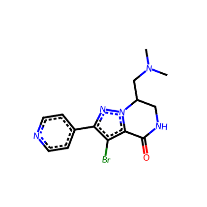 CN(C)CC1CNC(=O)c2c(Br)c(-c3ccncc3)nn21